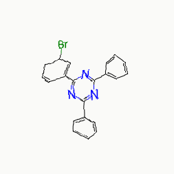 BrC1C=C(c2nc(-c3ccccc3)nc(-c3ccccc3)n2)C=CC1